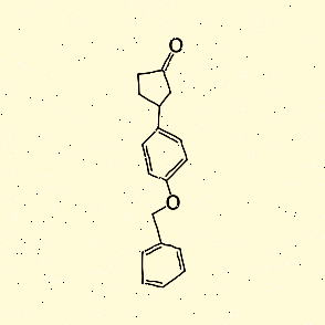 O=C1CCC(c2ccc(OCc3ccccc3)cc2)C1